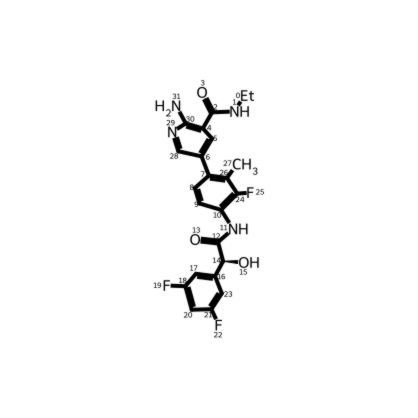 CCNC(=O)c1cc(-c2ccc(NC(=O)[C@@H](O)c3cc(F)cc(F)c3)c(F)c2C)cnc1N